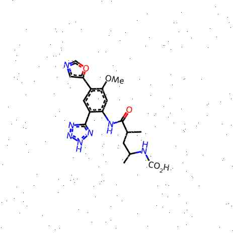 COc1cc(NC(=O)C(C)CC(C)NC(=O)O)c(-c2nn[nH]n2)cc1-c1cnco1